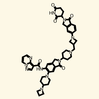 O=C1CCC(N2Cc3cc(N4CC(CN5CCC(N6Cc7cc(NC(=O)c8cnn9cccnc89)c(N8CCC(N9CCC9)CC8)cc7C6=O)CC5)C4)ccc3C2=O)C(=O)N1